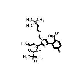 C=CC[C@H](N[S+]([O-])C(C)(C)C)c1nc(-c2cc(F)ccc2[N+](=O)[O-])cn1COCC[Si](C)(C)C